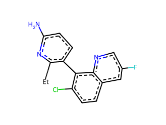 CCc1nc(N)ccc1-c1c(Cl)ccc2cc(F)cnc12